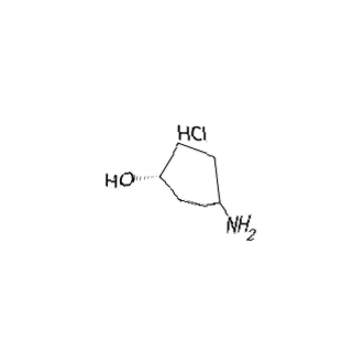 Cl.NC1CC[C@@H](O)C1